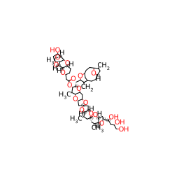 C=C1C[C@@H]2CCC3CC(CCC1O2)OC(C[C@@H]1OC2CC4O[C@]5(CC4OC2C(C)C1OC(=O)CC1CC[C@@H]2OC4C(C)[C@@H](OC6CC(O)[C@@H]4O6)[C@H]2O1)C[C@@H]1O[C@]2(CC(C)[C@@H]4O[C@H]([C@@H](O)CC(O)CO)C[C@@H]4O2)CC(C)[C@@H]1O5)C3=C